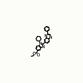 CCOC(=O)c1ccc2c(c1)nc(-c1ccc3ncc(-c4ccccc4)nc3c1)n2C1CCCCC1